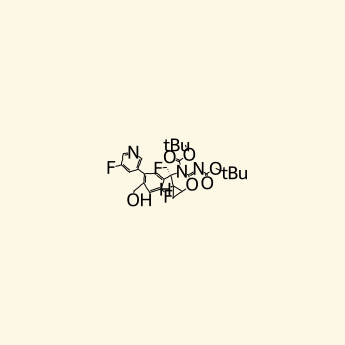 CC(C)(C)OC(=O)/N=C1\OC2C[C@@H]2[C@@](CF)(c2cc(-c3cncc(F)c3)c(CO)cc2F)N1C(=O)OC(C)(C)C